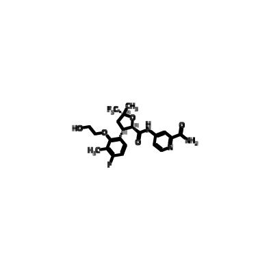 Cc1c(F)ccc([C@@H]2C[C@](C)(C(F)(F)F)O[C@H]2C(=O)Nc2ccnc(C(N)=O)c2)c1OCCO